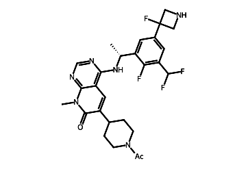 CC(=O)N1CCC(c2cc3c(N[C@H](C)c4cc(C5(F)CNC5)cc(C(F)F)c4F)ncnc3n(C)c2=O)CC1